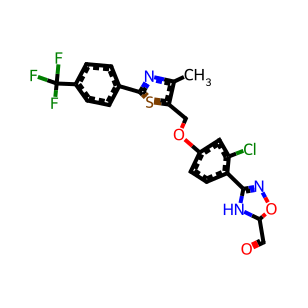 Cc1nc(-c2ccc(C(F)(F)F)cc2)sc1COc1ccc(C2=NOC(C=O)N2)c(Cl)c1